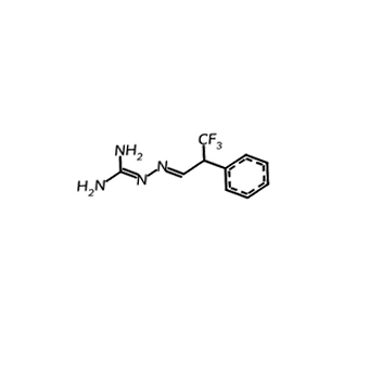 NC(N)=NN=CC(c1ccccc1)C(F)(F)F